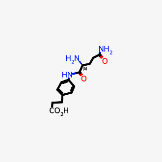 NC(=O)CC[C@H](N)C(=O)Nc1ccc(CCC(=O)O)cc1